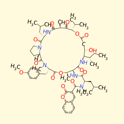 CC[C@H](C)[C@H]1NC(=O)[C@@H](NC(=O)[C@@H](CC(C)C)N(C)C(=O)c2cc3ccccc3oc2=O)[C@@H](C)OC(=O)[C@H](Cc2ccc(OC)cc2)N(C)C(=O)[C@@H]2CCCN2C(=O)[C@H](CC(C)C)NC(=O)[C@@H](C)C(=O)[C@H](C(C)C)OC(=O)C[C@@H]1O